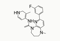 C=C(NC1=C(C)CNC=C1)N1CCCN(C)c2ccc(-c3cccc(F)c3)nc21